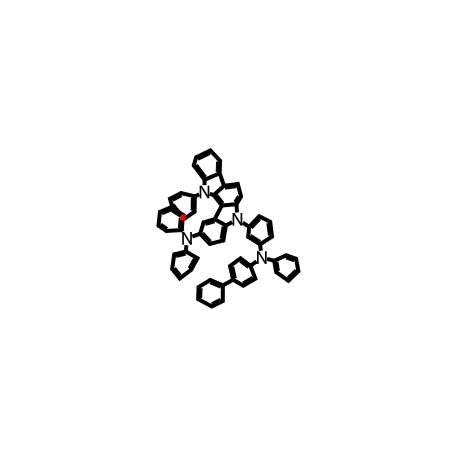 c1ccc(-c2ccc(N(c3ccccc3)c3cccc(-n4c5ccc(N(c6ccccc6)c6ccccc6)cc5c5c4ccc4c6ccccc6n(-c6ccccc6)c45)c3)cc2)cc1